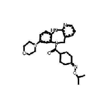 CC(C)ON=C1CCC(C(=O)N2Cc3cccnc3Nc3ccc(N4CCOCC4)cc32)CC1